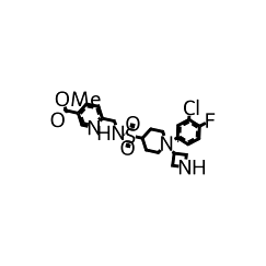 COC(=O)c1ccc(CNS(=O)(=O)C2CC[N+](c3ccc(F)c(Cl)c3)(C3CNC3)CC2)nc1